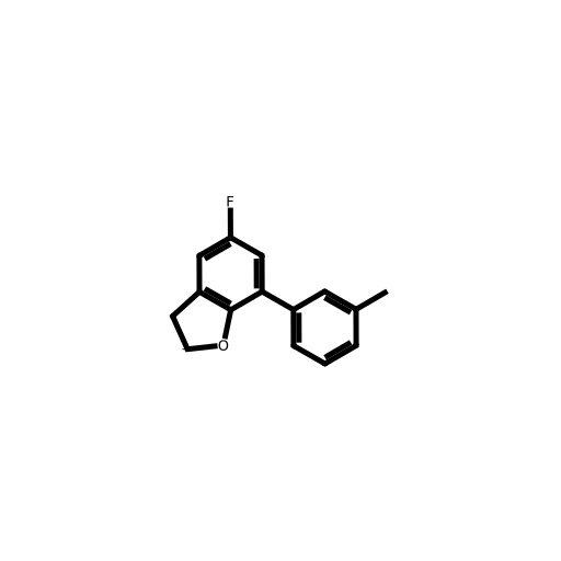 Cc1cccc(-c2cc(F)cc3c2O[CH]C3)c1